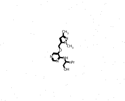 CCCC(CO)Nc1ncncc1OCc1cc(C)nn1C